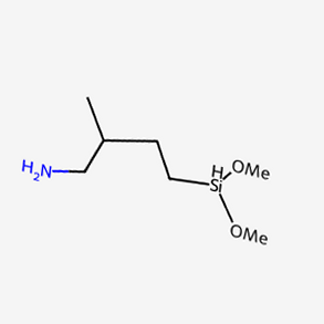 CO[SiH](CCC(C)CN)OC